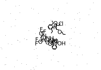 CCCOCCN(C(=O)CCl)c1c(CC)cccc1CC.O=C(Nc1nc(OC(F)F)cc(OC(F)F)n1)NS(=O)(=O)c1ccccc1C(=O)O